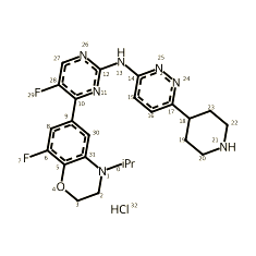 CC(C)N1CCOc2c(F)cc(-c3nc(Nc4ccc(C5CCNCC5)nn4)ncc3F)cc21.Cl